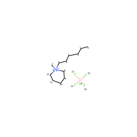 CCCCCC[N+]1(C)CCCCC1.F[B-](F)(F)F